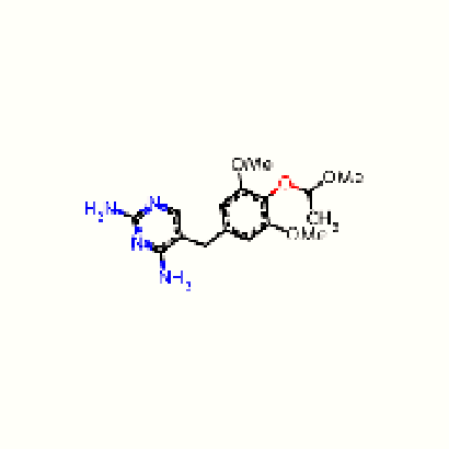 COc1cc(Cc2cnc(N)nc2N)cc(OC)c1OC(C)OC